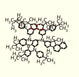 CC(C)(C)c1ccc(-c2cc(-c3ccc(C(C)(C)C)cc3)cc(N(c3cc4c5c(c3)N(c3cc(-c6ccc(C(C)(C)C)cc6)cc(-c6ccc(C(C)(C)C)cc6)c3)c3ccc(C(C)(C)C)cc3B5c3cc(C(C)(C)C)ccc3N4c3ccc(C(C)(C)C)cc3)c3ccc4c(c3)C(C)(C)c3c-4ccc4ccccc34)c2)cc1